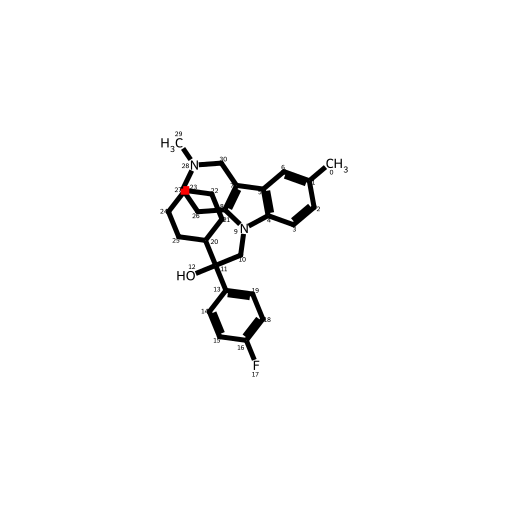 Cc1ccc2c(c1)c1c(n2CC(O)(c2ccc(F)cc2)C2CCCCC2)CCN(C)C1